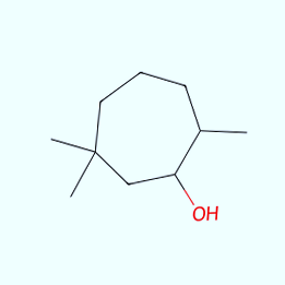 CC1CCCC(C)(C)CC1O